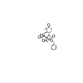 C[C@H]1OC(=O)[C@@H]2C=C3C(CCC(=O)C3(C)C)[C@H](C(=O)OCc3ccccc3)[C@H]12